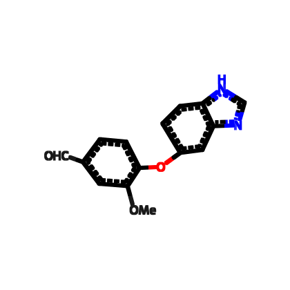 COc1cc(C=O)ccc1Oc1ccc2[nH]cnc2c1